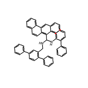 c1ccc(-c2ccc(-c3ccccc3)c(CNC(Nc3ccccc3-c3ccccc3)c3c4ccccc4cc4c3ccc3ccccc34)c2)cc1